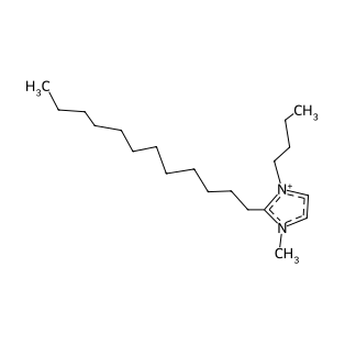 CCCCCCCCCCCCc1n(C)cc[n+]1CCCC